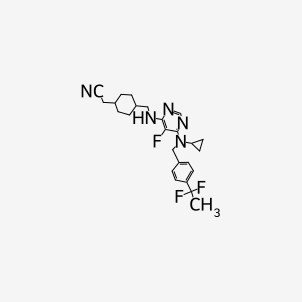 CC(F)(F)c1ccc(CN(c2ncnc(NCC3CCC(CC#N)CC3)c2F)C2CC2)cc1